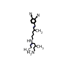 C=C(/C=C/c1ccc(C#N)c(C#N)c1)CCCCN/C(=C/CC)CC(C)CCN